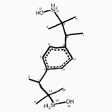 CC(c1ccc(C(C)C(C)(C)[SiH2]O)cc1)C(C)(C)[SiH2]O